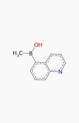 CB(O)c1cccc2ncccc12